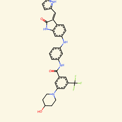 O=C1Nc2cc(Nc3cccc(NC(=O)c4cc(N5CCC(O)CC5)cc(C(F)(F)F)c4)c3)ccc2C1=Cc1ccc[nH]1